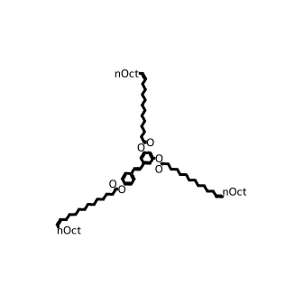 CCCCCCCC/C=C\CCCCCCCCCCCC(=O)Oc1ccc(C=Cc2cc(OC(=O)CCCCCCCCCCC/C=C\CCCCCCCC)cc(OC(=O)CCCCCCCCCCC/C=C\CCCCCCCC)c2)cc1